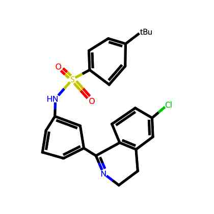 CC(C)(C)c1ccc(S(=O)(=O)Nc2cccc(C3=NCCc4cc(Cl)ccc43)c2)cc1